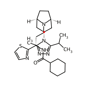 Cc1nnc(C(C)C)n1[C@@H]1C[C@H]2CC[C@@H](C1)N2CC[C@H](NC(=O)C1CCCCC1)c1nccs1